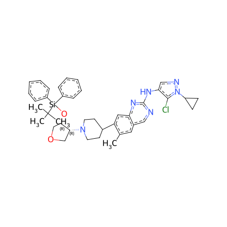 Cc1cc2cnc(Nc3cnn(C4CC4)c3Cl)nc2cc1C1CCN([C@@H]2COC[C@@H]2O[Si](c2ccccc2)(c2ccccc2)C(C)(C)C)CC1